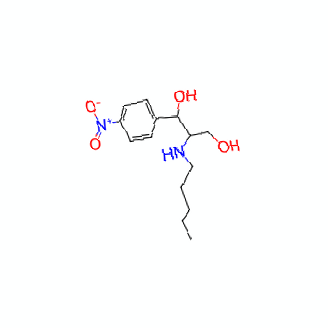 CCCCCNC(CO)C(O)c1ccc([N+](=O)[O-])cc1